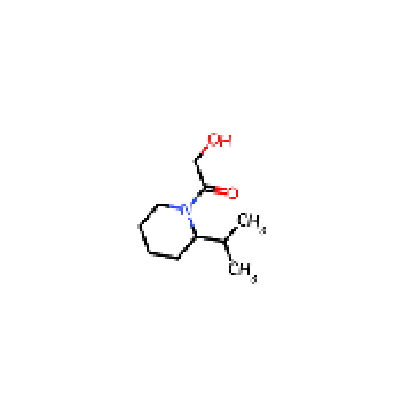 CC(C)C1CCCCN1C(=O)CO